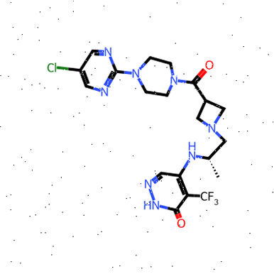 C[C@@H](CN1CC(C(=O)N2CCN(c3ncc(Cl)cn3)CC2)C1)Nc1cn[nH]c(=O)c1C(F)(F)F